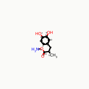 CC(Cc1ccc(O)c(O)c1)C(=O)ON